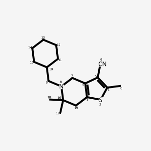 Cc1sc2c(c1C#N)CN(CC1CCCCC1)C(C)(C)C2